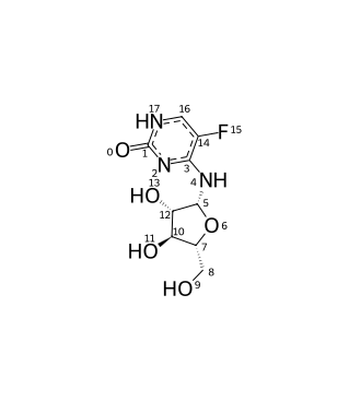 O=c1nc(N[C@@H]2O[C@H](CO)[C@@H](O)[C@@H]2O)c(F)c[nH]1